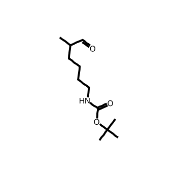 CC(C=O)CCCCNC(=O)OC(C)(C)C